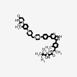 Cc1cc(-c2n[nH]c3ncc(-c4ccc(N5CCN(CC6CCN(c7ccc(N8CCC(=O)NC8=O)c(C)c7)CC6)CC5)cc4)cc23)ccc1[C@@H](C)NC(=O)c1noc(C(C)(C)C)n1